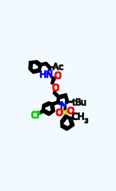 CC(=O)[C@@H](Cc1ccccc1)NC(=O)COCC1=C[C@@H](C(C)(C)C)N(S(=O)(=O)c2ccccc2C)C1c1ccc(Cl)cc1